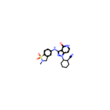 CN1Cc2cc(Nc3nn(C4CCCCC4C#N)c4cc[nH]c(=O)c34)ccc2S1(=O)=O